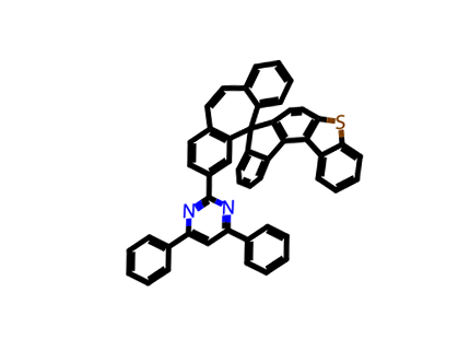 C1=Cc2ccc(-c3nc(-c4ccccc4)cc(-c4ccccc4)n3)cc2C2(c3ccccc31)c1ccccc1-c1c2ccc2sc3ccccc3c12